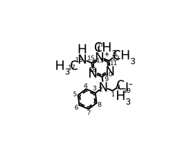 CCN(c1ccccc1)c1nc(C)[n+](C)c(NC)n1.[I-]